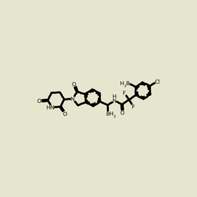 Bc1cc(Cl)ccc1C(F)(F)C(=O)NC(B)c1ccc2c(c1)CN(C1CCC(=O)NC1=O)C2=O